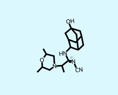 CC1CN(C(C)/C(=N\C#N)NC2C3CC4CC2CC(O)(C4)C3)CC(C)O1